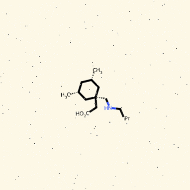 CC(C)CNC[C@]1(CC(=O)O)C[C@H](C)C[C@H](C)C1